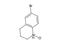 [O-][NH+]1CCCc2cc(Br)ccc21